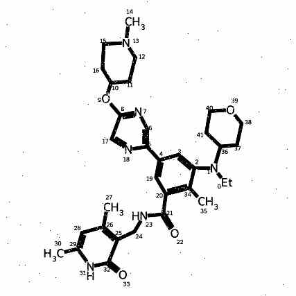 CCN(c1cc(-c2cnc(OC3CCN(C)CC3)cn2)cc(C(=O)NCc2c(C)cc(C)[nH]c2=O)c1C)C1CCOCC1